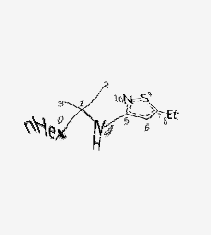 CCCCCCC(C)(C)Nc1cc(CC)sn1